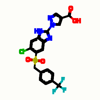 O=C(O)c1cnn(-c2nc3cc(S(=O)(=O)Cc4ccc(C(F)(F)F)cc4)c(Cl)cc3[nH]2)c1